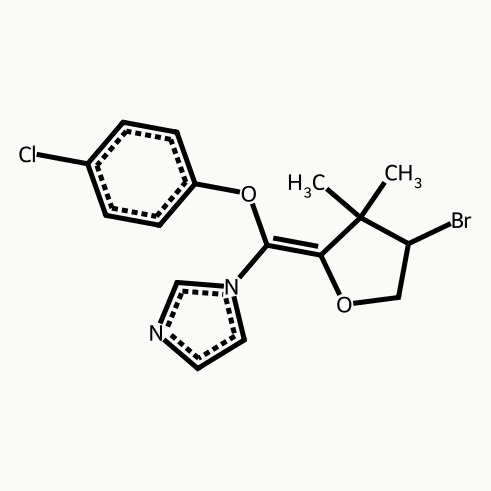 CC1(C)C(=C(Oc2ccc(Cl)cc2)n2ccnc2)OCC1Br